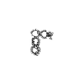 C1=CCCCCCCCCCC1.C1=CCCCCCCCCCC1.C1=CCCCCCCCCCC1.C1=CCCCCCCCCCC1.CC1CC2C=CC1C2